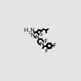 CC(C)CC1=CC2=C(N)N=CN(C3CCN(C(C)c4c(F)cc(F)cc4F)CC3)C2S1